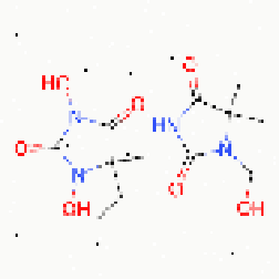 CC1(C)C(=O)NC(=O)N1CO.CCC1(C)C(=O)N(O)C(=O)N1O